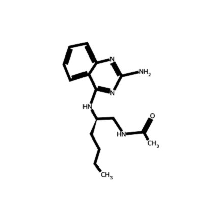 CCCC[C@H](CNC(C)=O)Nc1nc(N)nc2ccccc12